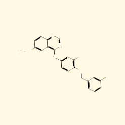 COc1ccc2ncnc(Nc3ccc(OCc4cccc(F)c4)c(Cl)c3)c2c1